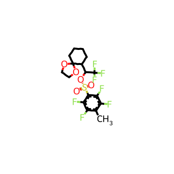 Cc1c(F)c(F)c(S(=O)(=O)OC(C2CCCCC23OCCO3)C(F)(F)F)c(F)c1F